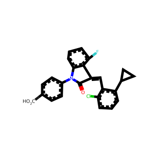 O=C(O)c1ccc(N2C(=O)/C(=C\c3c(Cl)cccc3C3CC3)c3c(F)cccc32)cc1